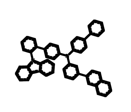 c1ccc(-c2ccc(N(c3ccc(-c4ccccc4-n4c5ccccc5c5ccccc54)cc3)c3cccc(-c4ccc5ccccc5c4)c3)cc2)cc1